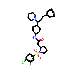 O=C(CC1CCCN1S(=O)(=O)c1ccc(Cl)c(Cl)c1)NC1CCC(C(CCc2ccccc2)N2CCCCC2)CC1